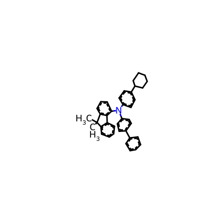 CC1(C)c2ccccc2-c2c(N(c3ccc(-c4ccccc4)cc3)c3ccc(C4CCCCC4)cc3)cccc21